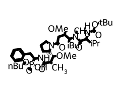 CCCCOP(=O)(O)C(Cc1ccccc1)NC(=O)C(C)C(OC)[C@@H]1CCCN1C(=O)CC(OC)C(C(C)CC)N(C)C(=O)C(NC(=O)OC(C)(C)C)C(C)C